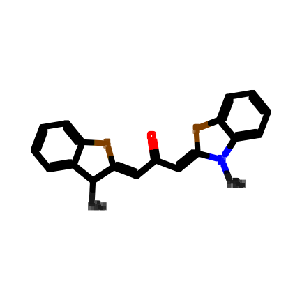 CCCCC1/C(=C/C(=O)/C=C2\Sc3ccccc3N2CCCC)Sc2ccccc21